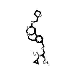 N/N=C(/COCc1ccc2c(c1)CCN1CN=C(OCC3CCCO3)C=C2C1)N(N)C1CC1